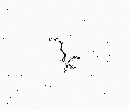 COCCCOP(=O)(S)OC